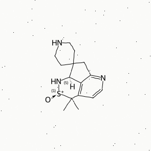 CC1(C)c2ccnc3c2[C@@H](N[S@+]1[O-])C1(CCNCC1)C3